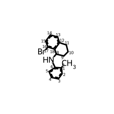 Cc1ccccc1NC1CCCc2cccc(Br)c21